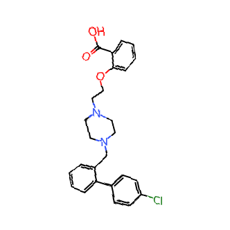 O=C(O)c1ccccc1OCCN1CCN(Cc2ccccc2-c2ccc(Cl)cc2)CC1